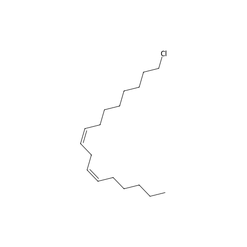 CCCCC/C=C\C/C=C\CCCCCCCCl